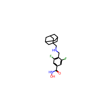 O=C(NO)c1cc(F)c(CNCC23CC4CC(CC(C4)C2)C3)c(F)c1